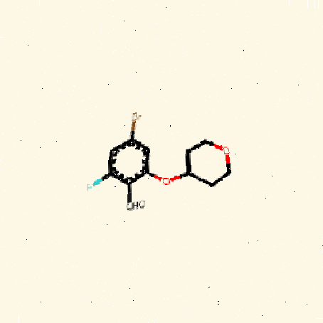 O=Cc1c(F)cc(Br)cc1OC1CCOCC1